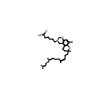 CC(C)=CCCC(C)=CCCC(C)=CCCC1(C)CCc2c3c(cc(C)c2O1)OCN(CCCCCC(=O)O)C3